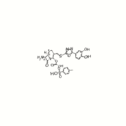 Cc1ccc(S(=O)(=O)O)cc1.N[C@@H]1C(=O)N2C(OC(=O)O)=C(CSc3nnc(-c4ccc(O)c(O)c4)o3)CS[C@H]12